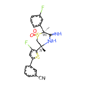 C[C@@]1(c2sc(-c3cccc(C#N)c3)cc2F)CS(=O)(=O)[C@@](C)(c2cccc(F)c2)C(=N)N1